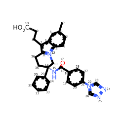 Cc1ccc2c(c1)c(CCC(=O)O)c1n2C[C@@](NC(=O)c2ccc(-n3cnnc3)cc2)(c2ccccc2)CC1